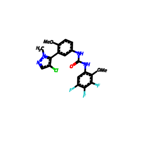 COc1ccc(NC(=O)Nc2cc(F)c(F)c(F)c2OC)cc1-c1c(Cl)cnn1C